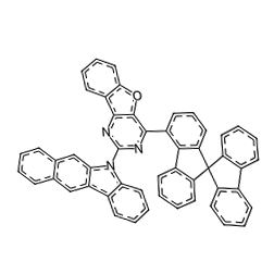 c1ccc2c(c1)-c1ccccc1C21c2ccccc2-c2c(-c3nc(-n4c5ccccc5c5cc6ccccc6cc54)nc4c3oc3ccccc34)cccc21